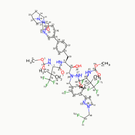 COC(=O)N[C@H](C(=O)N[C@@H](Cc1ccc(-c2ccc(N3CC4CCC(C3)N4C3COC3)nc2)cc1)[C@@H](O)CN(Cc1c(F)cc(-c2ccn(CC(F)F)n2)cc1F)NC(=O)[C@@H](NC(=O)OC)C(C)(C)C(F)(F)F)C(C)(C)C(F)(F)F